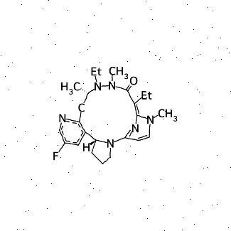 CC/C1=C2/N=C(C=CN2C)N2CCC[C@@H]2c2cc(F)cnc2C[C@H](C)N(CC)N(C)C1=O